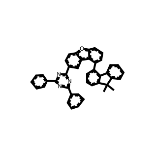 CC1(C)c2ccccc2-c2c(-c3cccc4oc5ccc(-c6nc(-c7ccccc7)nc(-c7ccccc7)n6)cc5c34)cccc21